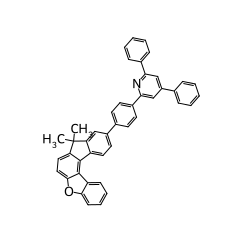 CC1(C)c2cc(-c3ccc(-c4cc(-c5ccccc5)cc(-c5ccccc5)n4)cc3)ccc2-c2c1ccc1oc3ccccc3c21